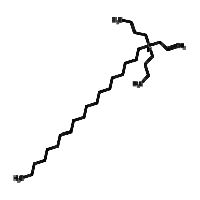 C=CC[PH](CCCC)(CCCC)CCCCCCCCCCCCCCCCCCC